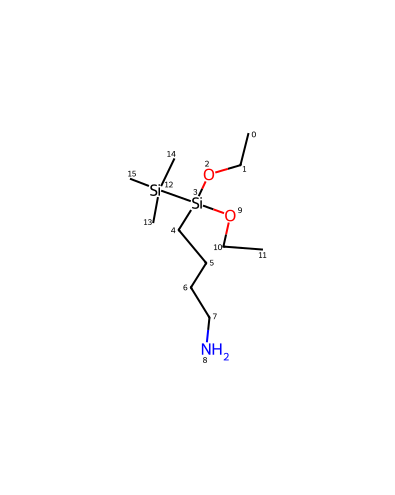 CCO[Si](CCCCN)(OCC)[Si](C)(C)C